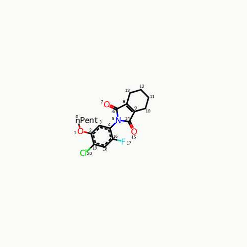 CCCCCOc1cc(N2C(=O)C3=C(CCCC3)C2=O)c(F)cc1Cl